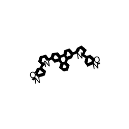 c1cc(-c2ccc3ncoc3c2)nc(-c2ccc3c4ccc(-c5cccc(-c6ccc7ncoc7c6)n5)cc4c4ccccc4c3c2)c1